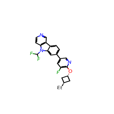 CC[C@H]1C[C@H](Oc2ncc(-c3ccc4c5cnccc5n(C(F)F)c4c3)cc2F)C1